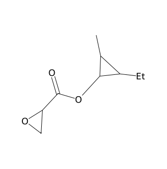 CCC1C(C)C1OC(=O)C1CO1